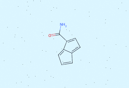 NC(=O)C1=CC=C2C=CC=C21